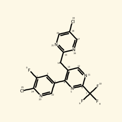 Fc1cc(-c2nc(C(F)(F)F)ncc2Cc2ncc(Cl)cn2)cnc1Cl